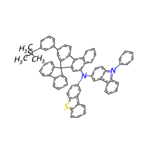 C[Si](C)(C)c1cccc(-c2ccc3c(c2)C2(c4ccccc4-c4ccccc42)c2cc(N(c4ccc5sc6ccccc6c5c4)c4ccc5c(c4)c4ccccc4n5-c4ccccc4)c4ccccc4c2-3)c1